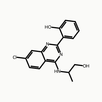 CC(CO)Nc1nc(-c2ccccc2O)nc2cc(Cl)ccc12